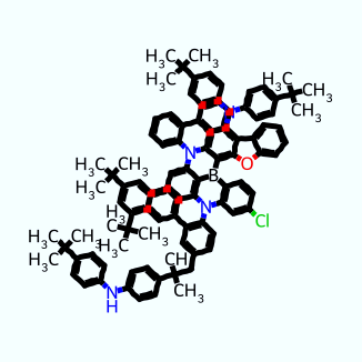 CC(C)(C)c1ccc(Nc2ccc(C(C)(C)Cc3ccc(N4c5cc(Cl)ccc5B5c6c4cc(-c4cc(C(C)(C)C)cc(C(C)(C)C)c4)cc6N(c4ccccc4-c4ccccc4)c4cc(N(c6ccc(C(C)(C)C)cc6)c6ccc(C(C)(C)C)cc6)c6c(oc7ccccc76)c45)c(-c4ccccc4)c3)cc2)cc1